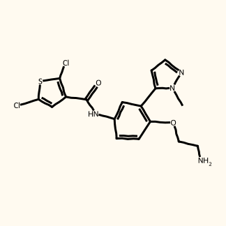 Cn1nccc1-c1cc(NC(=O)c2cc(Cl)sc2Cl)ccc1OCCN